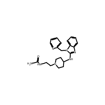 NC(=O)NCCN1CCC(Nc2nc3ccccc3n2Cc2ccccn2)CC1